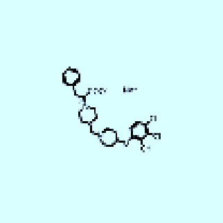 Cc1c(OC2CCN(CC3CCN([C@@H](Cc4ccccc4)C(=O)[O-])CC3)CC2)ccc(Cl)c1Cl.[Na+]